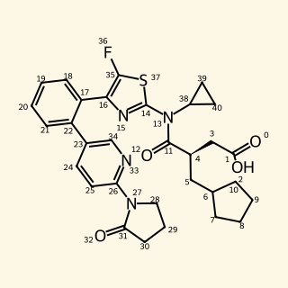 O=C(O)C[C@@H](CC1CCCC1)C(=O)N(c1nc(-c2ccccc2-c2ccc(N3CCCC3=O)nc2)c(F)s1)C1CC1